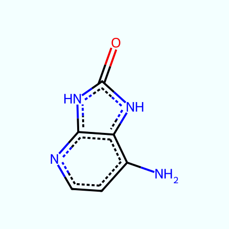 Nc1ccnc2[nH]c(=O)[nH]c12